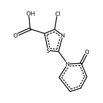 O=C(O)c1sc(-n2ccccc2=O)nc1Cl